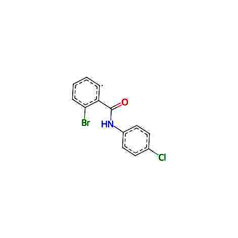 O=C(Nc1ccc(Cl)cc1)c1[c]cccc1Br